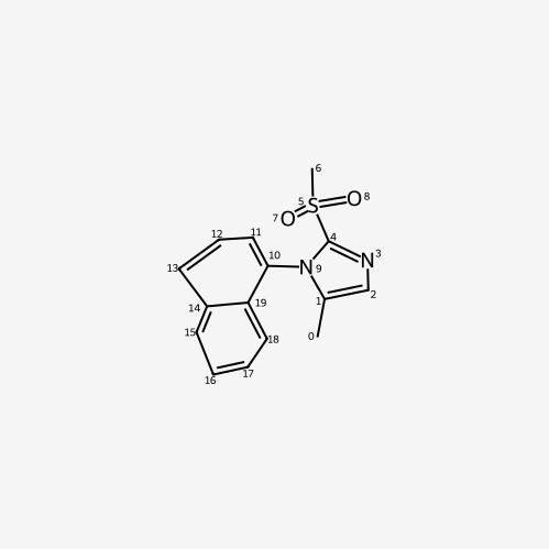 Cc1cnc(S(C)(=O)=O)n1-c1cccc2ccccc12